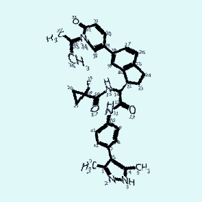 Cc1n[nH]c(C)c1-c1ccc(NC(=O)C(NC(=O)C2(F)CC2)[C@@H]2CCc3ccc(-c4ccc(=O)n(C(C)C)c4)cc32)cc1